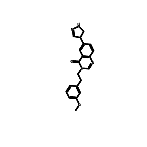 COc1cccc(CCn2cnc3ccc(C4C=NNC4)cc3c2=O)c1